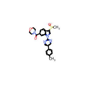 Cc1ccc(-c2cnc(-n3cc([S+](C)[O-])c4ccc(C(=O)N5CCOCC5)cc43)nc2)cc1